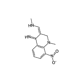 CN/C=C1/CN(C)c2c(cccc2[N+](=O)[O-])C1=N